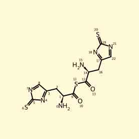 N[C@@H](CC1=NC(=S)N=C1)C(=O)SC(=O)[C@@H](N)CC1=NC(=S)N=C1